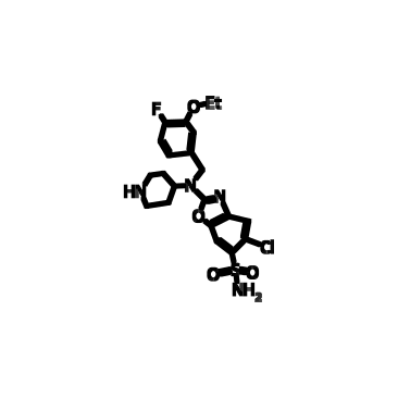 CCOc1cc(CN(c2nc3cc(Cl)c(S(N)(=O)=O)cc3o2)C2CCNCC2)ccc1F